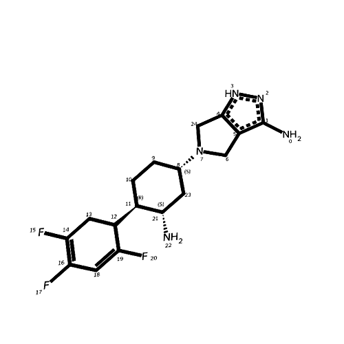 Nc1n[nH]c2c1CN([C@H]1CC[C@H](C3CC(F)=C(F)C=C3F)[C@@H](N)C1)C2